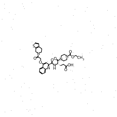 CCOC(=O)N1CCN(C(=O)[C@H](CCC(=O)O)NC(=O)c2cc(OCC(=O)N3CCc4ccsc4C3)c3ccccc3n2)CC1